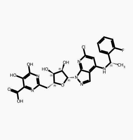 C[C@H](Nc1cc(Cl)nc2c1cnn2[C@@H]1O[C@H](Cc2nc(O)c(O)c(C(=O)O)n2)[C@@H](O)[C@H]1O)c1ccccc1F